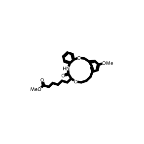 COC(=O)CCCCCC1OCCCc2cc(cc(OC)c2)COc2ccccc2NC1=O